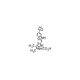 Cc1[nH]c2c(sc(/C=C3/Nc4cc(-c5ccco5)ccc4O3)[n+]2CC(=O)O)c1C